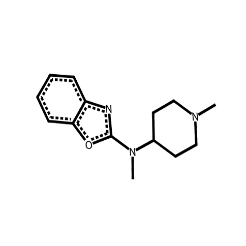 CN1CCC(N(C)c2nc3ccccc3o2)CC1